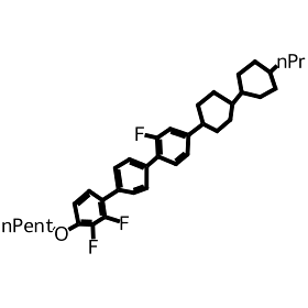 CCCCCOc1ccc(-c2ccc(-c3ccc(C4CCC(C5CCC(CCC)CC5)CC4)cc3F)cc2)c(F)c1F